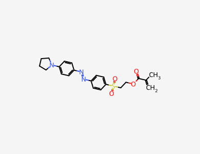 C=C(C)C(=O)OCCS(=O)(=O)c1ccc(N=Nc2ccc(N3CCCC3)cc2)cc1